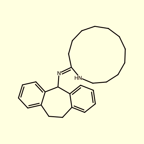 c1ccc2c(c1)CCc1ccccc1C2N=C1CCCCCCCCCCCN1